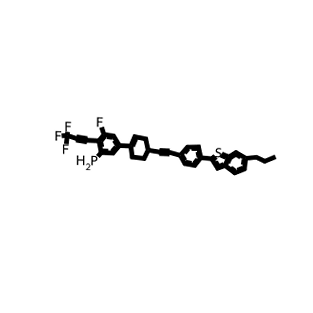 CCCc1ccc2cc(-c3ccc(C#CC4CC=C(c5cc(F)c(C#CC(F)(F)F)c(P)c5)CC4)cc3)sc2c1